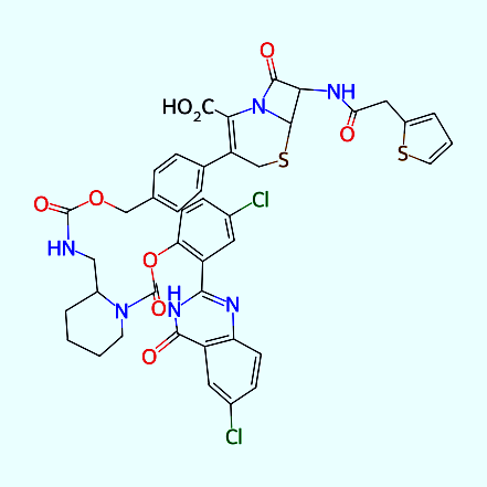 O=C(Cc1cccs1)NC1C(=O)N2C(C(=O)O)=C(c3ccc(COC(=O)NCC4CCCCN4C(=O)Oc4ccc(Cl)cc4-c4nc5ccc(Cl)cc5c(=O)[nH]4)cc3)CSC12